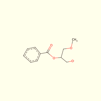 COCC(C[O])OC(=O)c1ccccc1